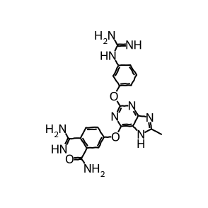 Cc1nc2nc(Oc3cccc(NC(=N)N)c3)nc(Oc3ccc(C(=N)N)c(C(N)=O)c3)c2[nH]1